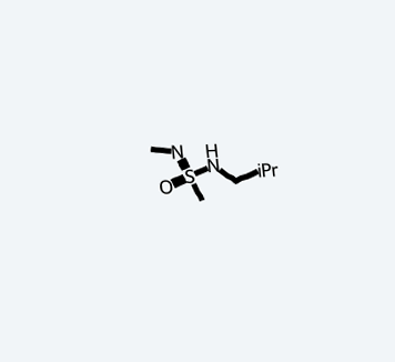 CN=S(C)(=O)NCC(C)C